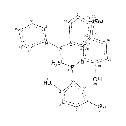 CC(C)(C)c1ccc(O)c(P([SiH2]C(c2ccccc2)c2ccccc2)c2cc(C(C)(C)C)ccc2O)c1